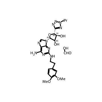 COc1ccc(CCNc2nc(N)c3ncn([C@@H]4O[C@H](c5nnn(C(C)C)n5)[C@@H](O)[C@H]4O)c3n2)cc1OC.O=CO